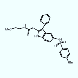 CSCCNC(=O)Oc1[nH]c2ccc(NS(=O)(=O)c3ccc(C(C)(C)C)cc3)cc2c1-c1ccccc1